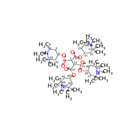 C=C1CC(OC(=O)C(C(=O)OC2CC(C)(C)N(C)C(C)(C)C2)C(C(=O)OC2CC(C)(C)N(C)C(C)(C)C2)C(=O)OC2CC(C)(C)N(C)C(C)(C)C2)CC(C)(C)N1C